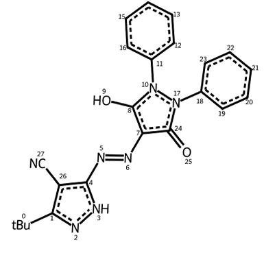 CC(C)(C)c1n[nH]c(N=Nc2c(O)n(-c3ccccc3)n(-c3ccccc3)c2=O)c1C#N